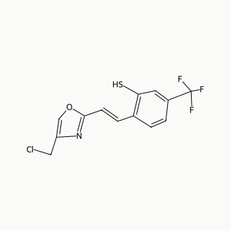 FC(F)(F)c1ccc(C=Cc2nc(CCl)co2)c(S)c1